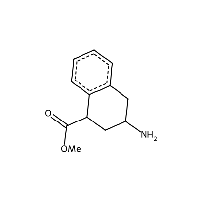 COC(=O)C1CC(N)Cc2ccccc21